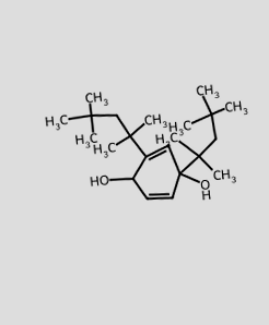 CC(C)(C)CC(C)(C)C1=CC(O)(C(C)(C)CC(C)(C)C)C=CC1O